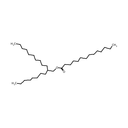 CCCCCCCCCCCCCC(=O)OCC(CCCCCCCC)CCCCCCCCCC